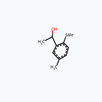 CSc1ccc(C)cc1C(C)O